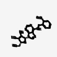 CC(=O)Oc1ccccc1CNc1ncnc2c1ncn2[C@@H]1O[C@H](CO)[C@@H](O)[C@H]1O